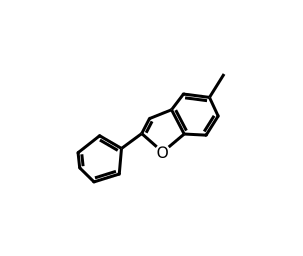 Cc1ccc2oc(-c3ccccc3)cc2c1